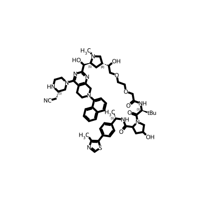 Cc1ncsc1-c1ccc([C@H](C)NC(=O)C2CC(O)CN2C(=O)[C@@H](NC(=O)COCCOCC(O)[C@@H]2C[C@@H](C(O)c3nc4c(c(N5CCN[C@@H](CC#N)C5)n3)CCN(c3cccc5ccccc35)C4)N(C)C2)C(C)(C)C)cc1